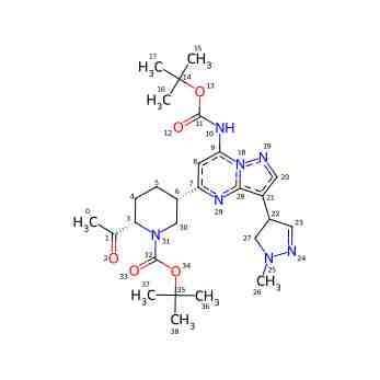 CC(=O)[C@@H]1CC[C@H](c2cc(NC(=O)OC(C)(C)C)n3ncc(C4C=NN(C)C4)c3n2)CN1C(=O)OC(C)(C)C